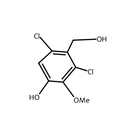 COc1c(O)cc(Cl)c(CO)c1Cl